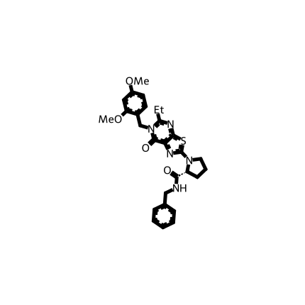 CCc1nc2sc(N3CCC[C@@H]3C(=O)NCc3ccccc3)nc2c(=O)n1Cc1ccc(OC)cc1OC